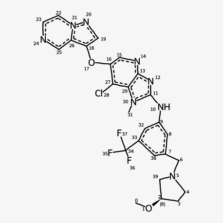 CO[C@@H]1CCN(Cc2cc(Nc3nc4ncc(Oc5cnn6ccncc56)c(Cl)c4n3C)cc(C(F)(F)F)c2)C1